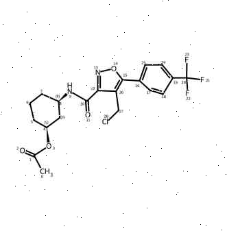 CC(=O)O[C@H]1CCC[C@@H](NC(=O)c2noc(-c3ccc(C(F)(F)F)cc3)c2CCl)C1